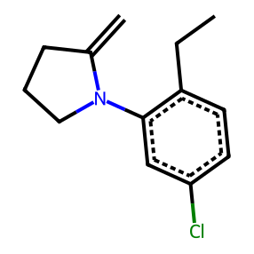 C=C1CCCN1c1cc(Cl)ccc1CC